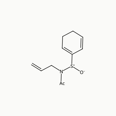 C=CCN(C(C)=O)[S+]([O-])C1=CCCC=C1